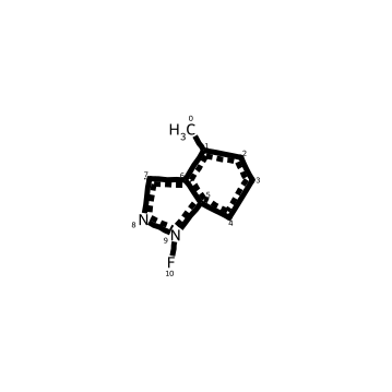 Cc1cccc2c1[c]nn2F